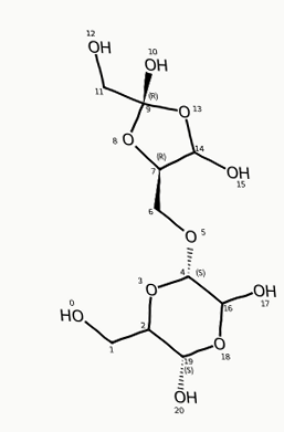 OCC1O[C@H](OC[C@H]2O[C@](O)(CO)OC2O)C(O)O[C@@H]1O